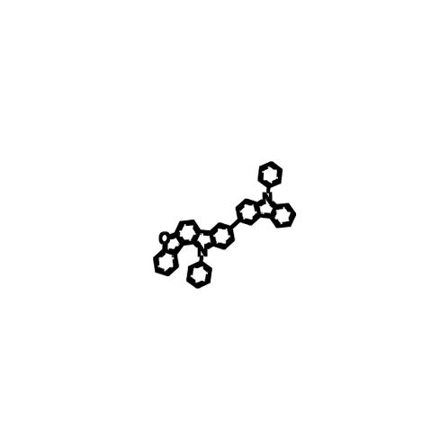 c1ccc(-n2c3ccccc3c3cc(-c4ccc5c(c4)c4ccc6oc7ccccc7c6c4n5-c4ccccc4)ccc32)cc1